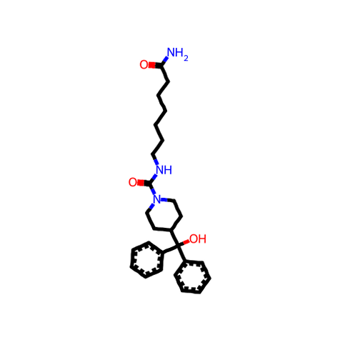 NC(=O)CCCCCCNC(=O)N1CCC(C(O)(c2ccccc2)c2ccccc2)CC1